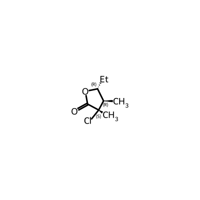 CC[C@H]1OC(=O)[C@@](C)(Cl)[C@@H]1C